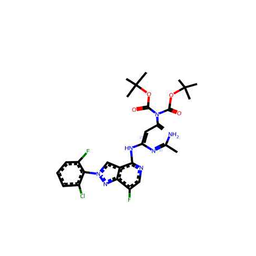 C=C(/C=C(\N=C(\C)N)Nc1ncc(F)c2nn(-c3c(F)cccc3Cl)cc12)N(C(=O)OC(C)(C)C)C(=O)OC(C)(C)C